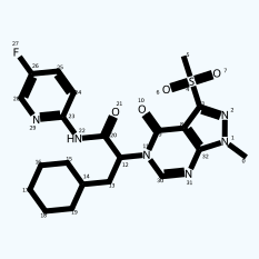 Cn1nc(S(C)(=O)=O)c2c(=O)n(C(CC3CCCCC3)C(=O)Nc3ccc(F)cn3)cnc21